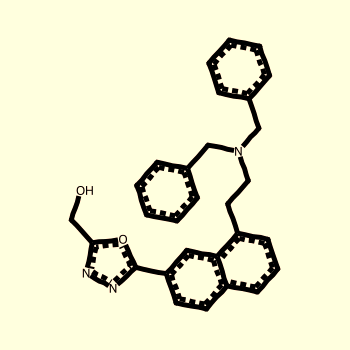 OCc1nnc(-c2ccc3cccc(CCN(Cc4ccccc4)Cc4ccccc4)c3c2)o1